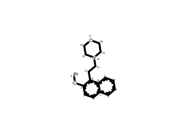 CC(C)Oc1ccc2ccccc2c1CCN1CCOCC1